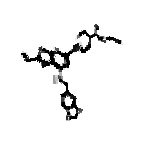 CCOC(=O)C1CCN(c2nc(NCc3ccc4c(c3)OCO4)c3cc(CC)sc3n2)CC1